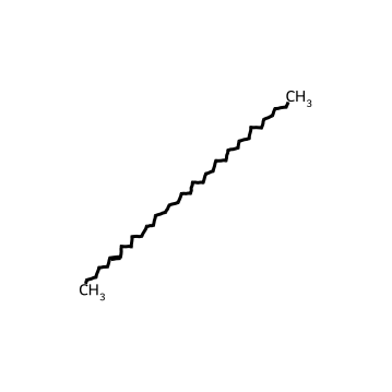 CCCCC/C=C/CCCCCCCCCCCCCCCCCCCCCCCCCCCCC